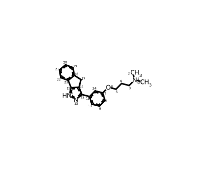 CN(C)CCCOc1cccc(-c2n[nH]c3c2Cc2ccccc2-3)c1